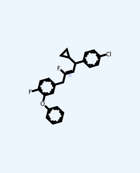 F/C(=C\C(c1ccc(Cl)cc1)C1CC1)Cc1ccc(F)c(Oc2ccccc2)c1